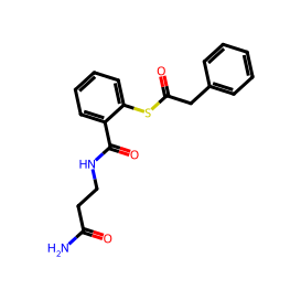 NC(=O)CCNC(=O)c1ccccc1SC(=O)Cc1ccccc1